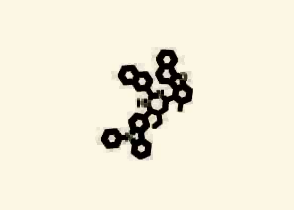 CCC1C=C(c2c(C)ccc3oc4c5ccccc5ccc4c23)N=C(c2ccc3ccccc3c2)NC1c1ccc2c(c1)c1ccccc1n2-c1ccccc1